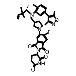 C=CC(C)(C)[C@H](C)N(CC1CCN(c2cc3c(cc2F)C(=O)N(C2CCC(=O)NC2=O)C3=O)C1)c1cc(-c2c(C)noc2C)ccc1C